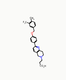 Cc1ccc(COc2ccc(-c3ccc4c(n3)CCN(CCC(=O)O)C4)cc2)cc1C(F)(F)F